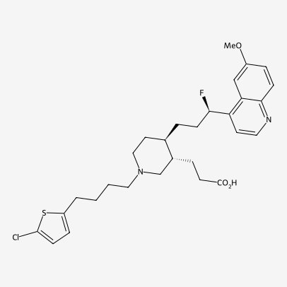 COc1ccc2nccc([C@H](F)CC[C@@H]3CCN(CCCCc4ccc(Cl)s4)C[C@H]3CCC(=O)O)c2c1